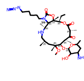 CC[C@H]1OC(=O)[C@H](C)C(=O)[C@H](C)[C@@H](O[C@@H]2OC(C)CC(N)C2O)[C@](C)(OC)C[C@@H](C)CN[C@H](C)[C@H]2N(CCCCCN=[N+]=[N-])C(=O)O[C@]12C